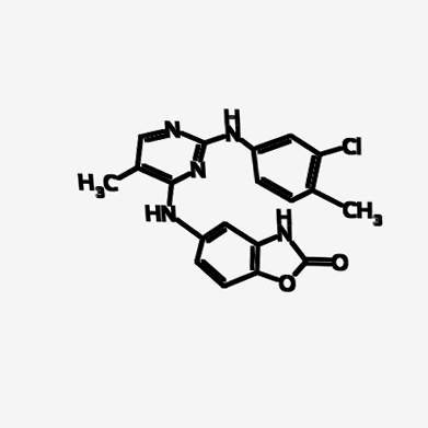 Cc1ccc(Nc2ncc(C)c(Nc3ccc4oc(=O)[nH]c4c3)n2)cc1Cl